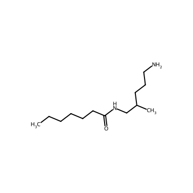 CCCCCCC(=O)NCC(C)CCCN